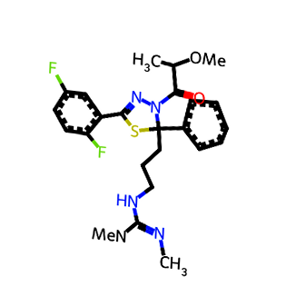 CN=C(NC)NCCCC1(c2ccccc2)SC(c2cc(F)ccc2F)=NN1C(=O)C(C)OC